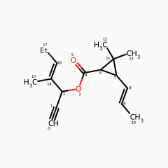 C#CC(OC(=O)C1C(C=CC)C1(C)C)C(C)=CCC